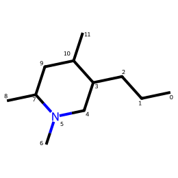 CCCC1CN(C)C(C)CC1C